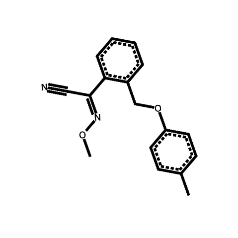 CON=C(C#N)c1ccccc1COc1ccc(C)cc1